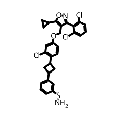 NSc1cccc(C2CC(c3ccc(OCc4c(-c5c(Cl)cccc5Cl)noc4C4CC4)cc3Cl)C2)c1